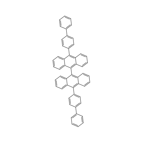 c1ccc(-c2ccc(-c3c4ccccc4c(-c4c5ccccc5c(-c5ccc(-c6ccccc6)cc5)c5ccccc45)c4ccccc34)cc2)cc1